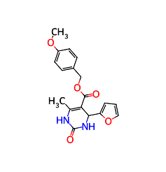 COc1ccc(COC(=O)C2=C(C)NC(=O)NC2c2ccco2)cc1